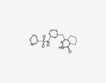 O=c1[nH]nc(Cc2cccc(NS(=O)(=O)c3cccnc3)c2)c2c1CCCC2